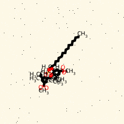 CCCCCCCCCCCCCCCCCCOP(Oc1c(C(C)(C)C)cc(C(=O)OC)cc1C(C)(C)C)Oc1c(C(C)(C)C)cc(C(=O)OC)cc1C(C)(C)C